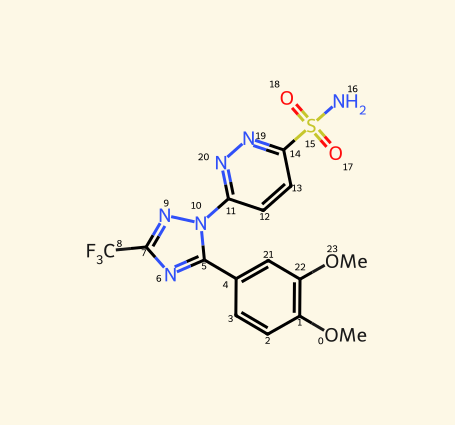 COc1ccc(-c2nc(C(F)(F)F)nn2-c2ccc(S(N)(=O)=O)nn2)cc1OC